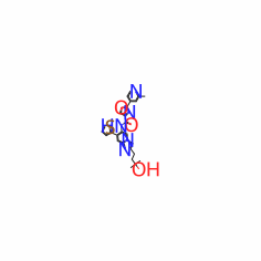 Cc1cc(-c2nc(C(=O)Nc3cn4cc(CCC(C)(C)O)nc4cc3-c3cccs3)co2)ccn1